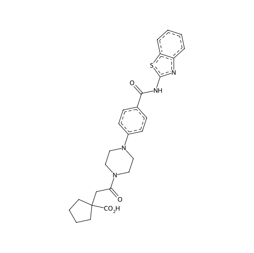 O=C(Nc1nc2ccccc2s1)c1ccc(N2CCN(C(=O)CC3(C(=O)O)CCCC3)CC2)cc1